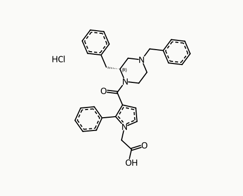 Cl.O=C(O)Cn1ccc(C(=O)N2CCN(Cc3ccccc3)C[C@H]2Cc2ccccc2)c1-c1ccccc1